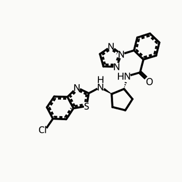 O=C(N[C@@H]1CCC[C@H]1Nc1nc2ccc(Cl)cc2s1)c1ccccc1-n1nccn1